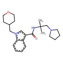 CC(C)(CN1CCCC1)NC(=O)c1cn(CC2CCOCC2)c2ccccc12